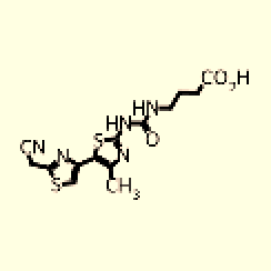 Cc1nc(NC(=O)NCCCC(=O)O)sc1-c1csc(CC#N)n1